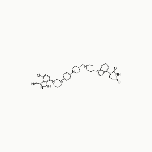 N#Cc1n[nH]c2c(N3CCC[C@H](c4ccc(N5CCC(CN6CCC(n7ccc8c(N9CCC(=O)NC9=O)cccc87)CC6)CC5)cc4)C3)ccc(Cl)c12